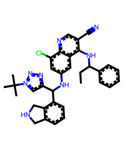 CCC(Nc1c(C#N)cnc2c(Cl)cc(NC(c3cn(C(C)(C)C)nn3)c3cccc4c3CNC4)cc12)c1ccccc1